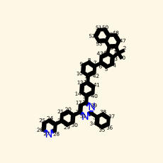 CC1(C)c2ccc(-c3cccc(-c4ccc(-c5cc(-c6ccc(-c7cccnc7)cc6)nc(-c6ccccc6)n5)cc4)c3)cc2-c2c1ccc1ccccc21